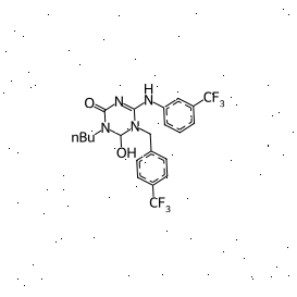 CCCCN1C(=O)N=C(Nc2cccc(C(F)(F)F)c2)N(Cc2ccc(C(F)(F)F)cc2)C1O